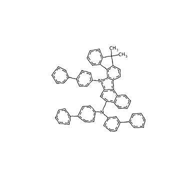 CC1(C)c2ccccc2-c2c1ccc1c3c4ccccc4c(N(c4ccc(-c5ccccc5)cc4)c4cccc(-c5ccccc5)c4)cc3n(-c3ccc(-c4ccccc4)cc3)c21